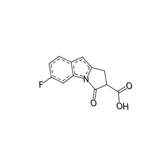 O=C(O)C1Cc2cc3ccc(F)cc3n2C1=O